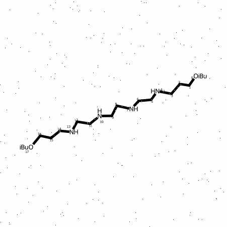 CC(C)COCCCNCCNCCNCCNCCCOCC(C)C